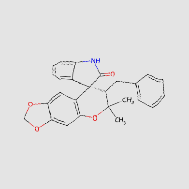 CC1(C)Oc2cc3c(cc2[C@@]2(C(=O)Nc4ccccc42)C1Cc1ccccc1)OCO3